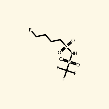 O=S(=O)(CCCCF)NS(=O)(=O)C(F)(F)F